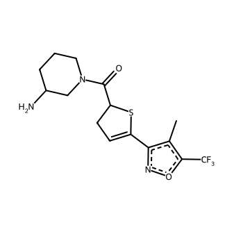 Cc1c(C2=CCC(C(=O)N3CCCC(N)C3)S2)noc1C(F)(F)F